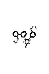 COc1cccc([C@H]2OC(=O)N[C@@H]2c2cccc(-c3ccccc3OC)c2)c1